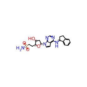 NS(=O)(=O)CC[C@@H]1O[C@@H](n2ccc3c(N[C@H]4CCc5ccccc54)ncnc32)C[C@@H]1O